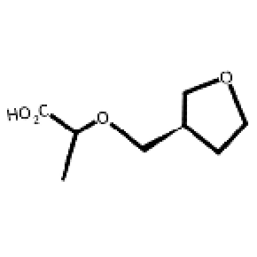 CC(OC[C@@H]1CCOC1)C(=O)O